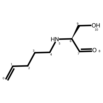 C=CCCCN[C@H](C=O)CO